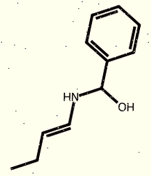 CCC=CNC(O)c1ccccc1